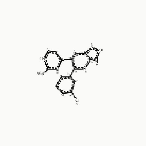 CSc1nccc(-c2nc3nsnc3nc2-c2cccc(Cl)c2)n1